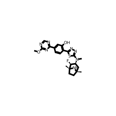 COc1ncnc(-c2ccc(-c3nnc(N(C)[C@H]4C[C@]5(C)CC[C@@](C)(N5)[C@H]4F)s3)c(O)c2)n1